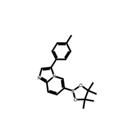 Cc1ccc(-c2cnc3ccc(B4OC(C)(C)C(C)(C)O4)cn23)cc1